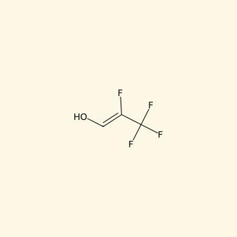 OC=C(F)C(F)(F)F